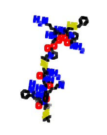 C[C@H](CSSC(C)(C)C)NC(=O)[C@H](Cc1c[nH]c2ccccc12)NC(=O)[C@H](CCCCN(C)C)NC(=O)CNC(=O)[C@@H](N)CSSC(C)(C)CN1CCCC1C(=O)OCC(=O)N[C@@H](CCCCN)C(=O)N[C@@H](CC=[SH]Cc1ccccc1)C(=O)N1CCC[C@H]1C(N)=O